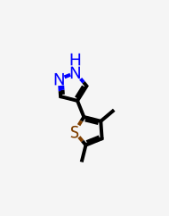 Cc1cc(C)c(-c2cn[nH]c2)s1